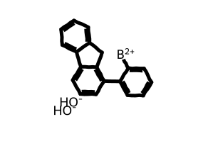 [B+2]c1ccccc1-c1cccc2c1Cc1ccccc1-2.[OH-].[OH-]